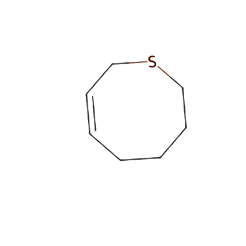 C1=C\CSCCCC/1